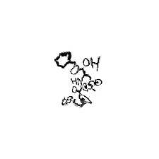 CC(C)(C)OC(=O)CNC(CS(C)(=O)=O)[C@@H](O)OCc1ccccc1